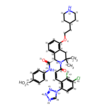 CC1(C)Cc2c(OCCC3CCNCC3)cccc2[C@@H](C(=O)Nc2ccc(C(=O)O)cc2)N1C(=O)C=Cc1c(-n2cnnn2)ccc(Cl)c1F